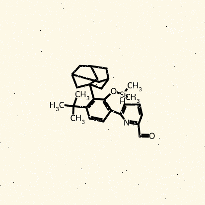 C[SiH](C)Oc1c(-c2cccc(C=O)n2)ccc(C(C)(C)C)c1C12CC3CC(CC(C3)C1)C2